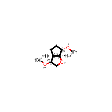 CC(C)O[C@H]1CC[C@H]2[C@@H]1OC[C@H]2OC(C)(C)C